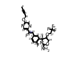 CC#CCOc1cnc(/C(F)=C/c2ccc(F)c([C@@]3(C)N=C(N)OCC3OCC(F)(F)F)c2)cn1